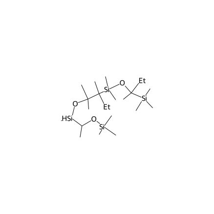 CCC(C)(O[Si](C)(C)C(C)(CC)C(C)(C)O[SiH](C)C(C)O[Si](C)(C)C)[Si](C)(C)C